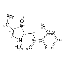 CCCOC1=CN(C)C(CC(=O)c2ccccc2CC)C1=O